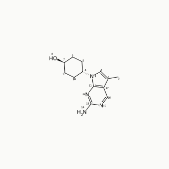 Cc1cn([C@H]2CC[C@H](O)CC2)c2nc(N)ncc12